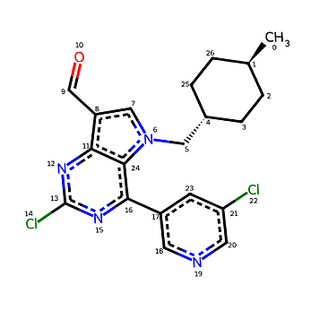 C[C@H]1CC[C@H](Cn2cc(C=O)c3nc(Cl)nc(-c4cncc(Cl)c4)c32)CC1